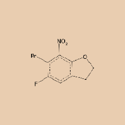 O=[N+]([O-])c1c(Br)c(F)cc2c1OCC2